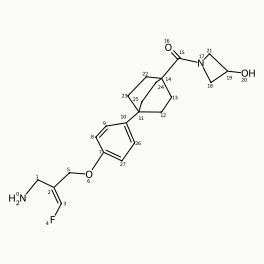 NCC(=CF)COc1ccc(C23CCC(C(=O)N4CC(O)C4)(CC2)CC3)cc1